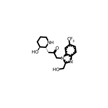 O=C(C[C@H]1NCCC[C@@H]1O)Cn1c(CO)nc2ccc(C(F)(F)F)cc21